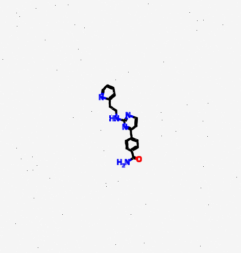 NC(=O)c1ccc(-c2ccnc(NCCc3ccccn3)n2)cc1